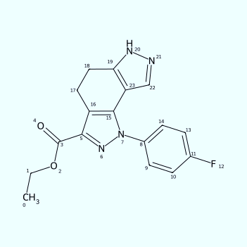 CCOC(=O)c1nn(-c2ccc(F)cc2)c2c1CCc1[nH]ncc1-2